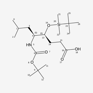 CC(C)C[C@H](NC(=O)OC(C)(C)C)[C@H](CCC(=O)O)O[Si](C)(C)C(C)(C)C